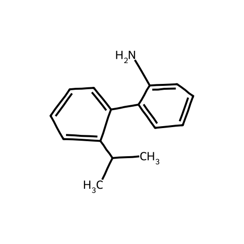 CC(C)c1ccccc1-c1ccccc1N